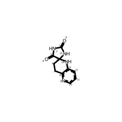 O=C1NC(=O)C2(CCc3ncccc3N2)N1